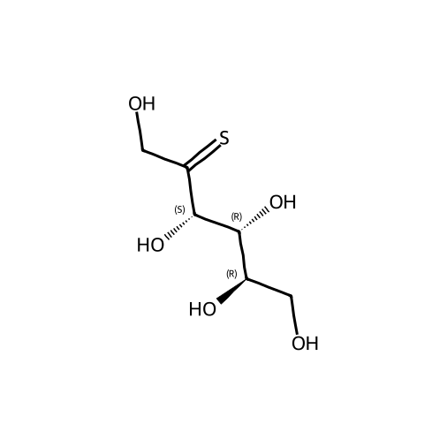 OCC(=S)[C@@H](O)[C@H](O)[C@H](O)CO